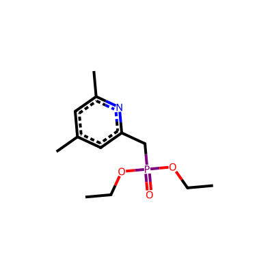 CCOP(=O)(Cc1cc(C)cc(C)n1)OCC